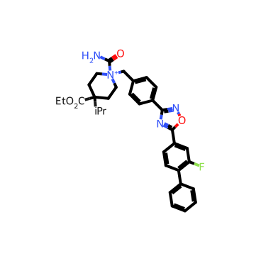 CCOC(=O)C1(C(C)C)CC[N+](Cc2ccc(-c3noc(-c4ccc(-c5ccccc5)c(F)c4)n3)cc2)(C(N)=O)CC1